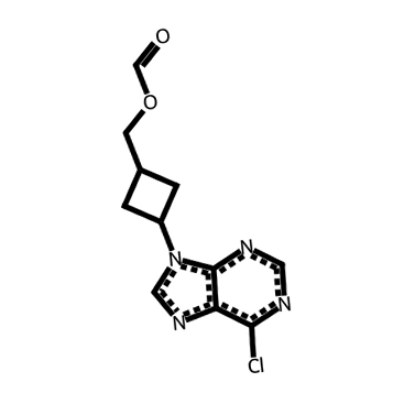 O=COCC1CC(n2cnc3c(Cl)ncnc32)C1